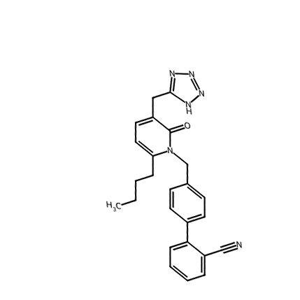 CCCCc1ccc(Cc2nnn[nH]2)c(=O)n1Cc1ccc(-c2ccccc2C#N)cc1